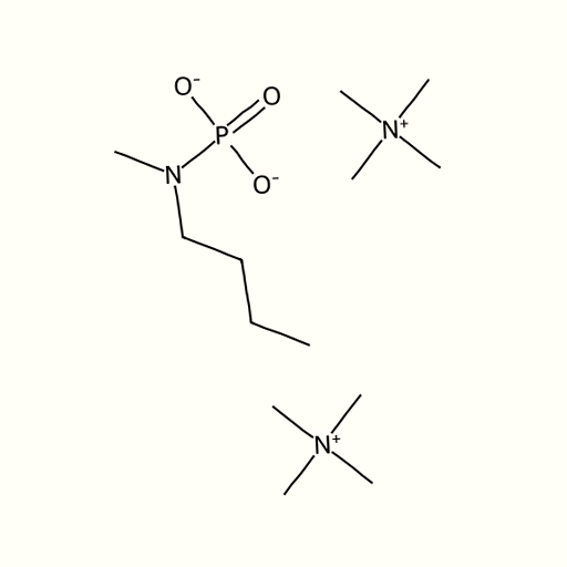 CCCCN(C)P(=O)([O-])[O-].C[N+](C)(C)C.C[N+](C)(C)C